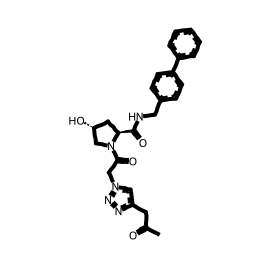 CC(=O)Cc1cn(CC(=O)N2C[C@H](O)C[C@H]2C(=O)NCc2ccc(-c3ccccc3)cc2)nn1